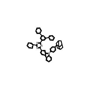 c1ccc(-c2cc(-c3ccccc3)cc(-c3nc(-c4ccccc4)nc(-c4ccc5c6ccccc6n(-c6ccc(C78CC9CC(CC(C9)C7)C8)cc6)c5c4)n3)c2)cc1